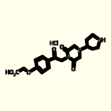 Cl.O=C(O)COc1ccc(C(=O)CN2C(=O)CN(C3CCNCC3)CC2=O)cc1